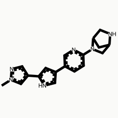 Cn1cc(-c2cc(-c3ccc(N4CC5CC4CN5)nc3)c[nH]2)cn1